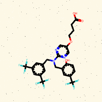 O=C(O)CCCOc1cnc(N(Cc2cc(C(F)(F)F)cc(C(F)(F)F)c2)Cc2cc(C(F)(F)F)ccc2O)nc1